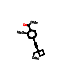 COCC1(C#Cc2ccc(C(=O)OC)c(OC)c2)CCC1